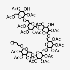 CC(=O)OCC1O[C@@H](OCC2OC(OC[C@H]3O[C@@H](OCC4OC(OC[C@H]5O[C@@H](OCC6O[C@@H](OCCCl)[C@H](OC(C)=O)C(OC(C)=O)[C@@H]6OC(C)=O)C(OC(C)=O)[C@@H](OC(C)=O)C5OC(C)=O)[C@H](OC(C)=O)C(OC(C)=O)[C@@H]4OC(C)=O)C(OC(C)=O)C(O)C3OC(C)=O)[C@H](OC(C)=O)C(OC(C)=O)[C@@H]2OC(C)=O)C(OC(C)=O)[C@@H](O)C1OC(C)=O